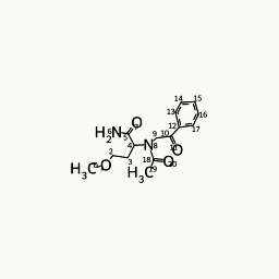 COCCC(C(N)=O)N(CC(=O)c1ccccc1)C(C)=O